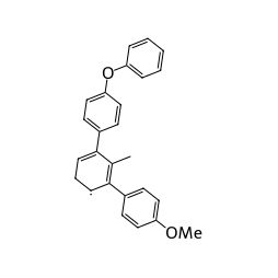 COc1ccc(C2=C(C)C(c3ccc(Oc4ccccc4)cc3)=CC[CH]2)cc1